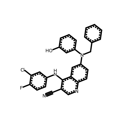 N#Cc1cnc2ccc(N(Cc3ccccc3)c3cccc(O)c3)cc2c1Nc1ccc(F)c(Cl)c1